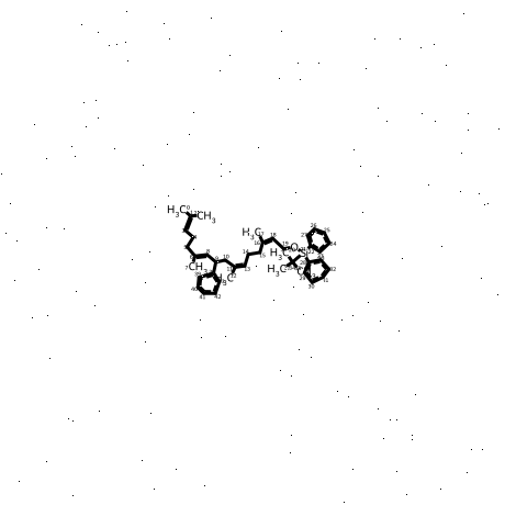 CC(C)=CCC/C(C)=C/C(C/C(C)=C\CC/C(C)=C\CO[Si](c1ccccc1)(c1ccccc1)C(C)(C)C)c1ccccc1